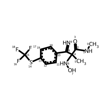 CNC(=O)C(C)(NO)C(=N)c1ccc(SC(F)(F)F)cc1